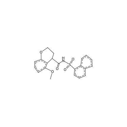 COc1cccc2c1C(C(=O)NS(=O)(=O)c1cccc3ccccc13)CCO2